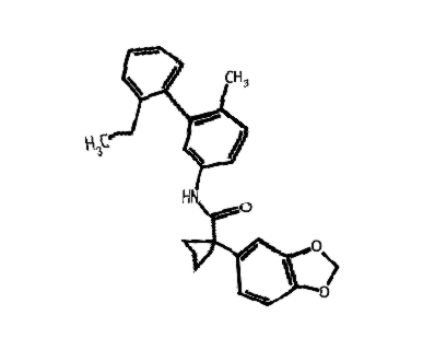 CCc1ccccc1-c1cc(NC(=O)C2(c3ccc4c(c3)OCO4)CC2)ccc1C